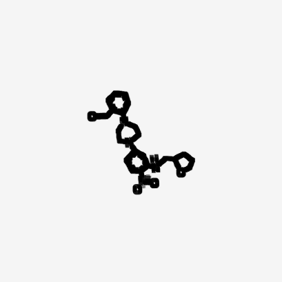 O=Cc1ccccc1N1CCN(c2ccc([N+](=O)[O-])c(NCC3CCCO3)c2)CC1